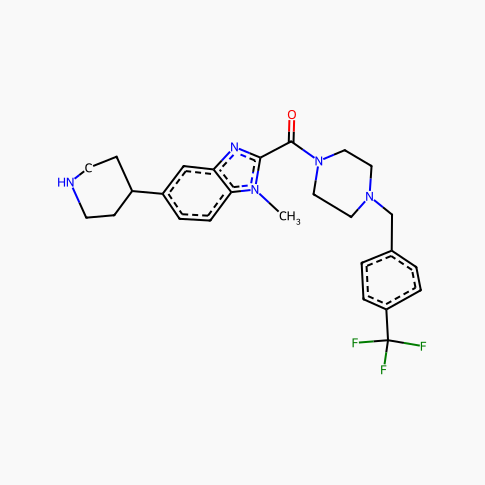 Cn1c(C(=O)N2CCN(Cc3ccc(C(F)(F)F)cc3)CC2)nc2cc(C3CCNCC3)ccc21